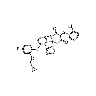 O=C1CC(c2ccsc2)(c2cccc(Oc3ccc(F)cc3OCC3CC3)n2)NC(=O)C1Sc1ccccc1Cl